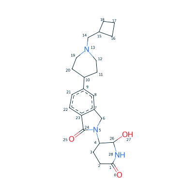 O=C1CCC(N2Cc3cc(C4CCN(CC5CCC5)CC4)ccc3C2=O)C(O)N1